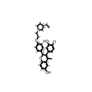 CC1=C(c2ccc(Cl)c(O)c2)C(c2ccc(OCCN3CC[C@@H](CF)C3)cc2)Oc2ccc(O)cc21